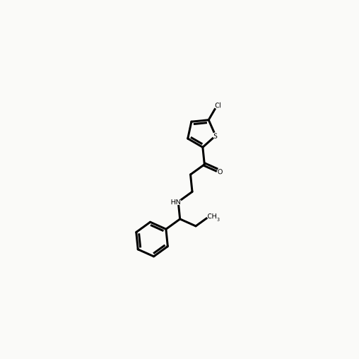 CCC(NCCC(=O)c1ccc(Cl)s1)c1ccccc1